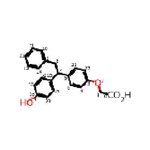 O=C(O)COc1ccc(C(Cc2ccccc2)c2ccc(O)cc2)cc1